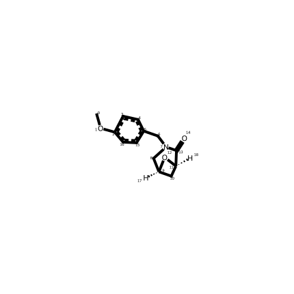 COc1ccc(CN2C[C@@H]3C[C@@H](O3)C2=O)cc1